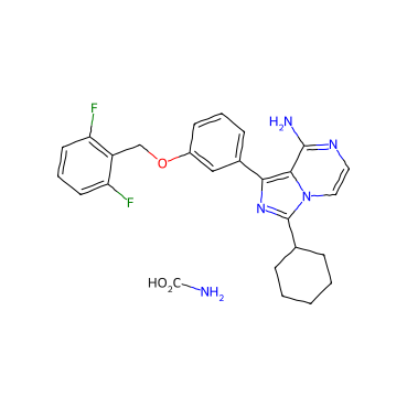 NC(=O)O.Nc1nccn2c(C3CCCCC3)nc(-c3cccc(OCc4c(F)cccc4F)c3)c12